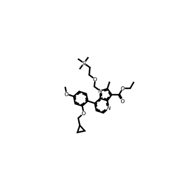 CCOC(=O)c1c(C)n(COCC[Si](C)(C)C)c2c(-c3ccc(OC)cc3OCC3CC3)ccnc12